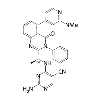 CNc1cc(-c2cccc3nc([C@H](C)Nc4nc(N)ncc4C#N)n(-c4ccccc4)c(=O)c23)ccn1